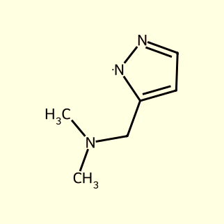 CN(C)CC1=CC=N[N]1